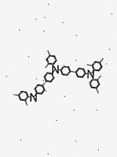 Cc1ccc(N(C)c2ccc(-c3ccc(N(c4ccc(-c5ccc(N(c6ccc(C)cc6C)c6ccc(C)cc6C)cc5)cc4)c4ccc(C)cc4C)cc3)cc2)c(C)c1